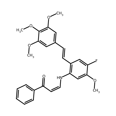 COc1cc(N/C=C\C(=O)c2ccccc2)c(/C=C/c2cc(OC)c(OC)c(OC)c2)cc1F